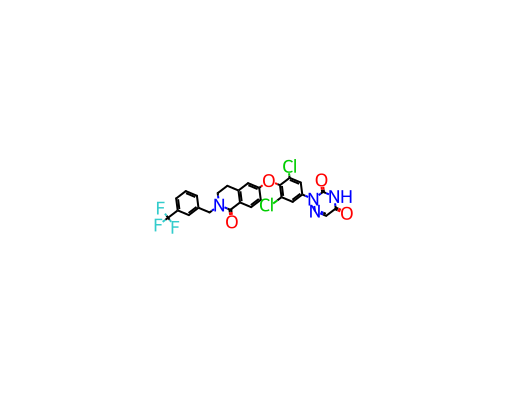 O=C1c2ccc(Oc3c(Cl)cc(-n4ncc(=O)[nH]c4=O)cc3Cl)cc2CCN1Cc1cccc(C(F)(F)F)c1